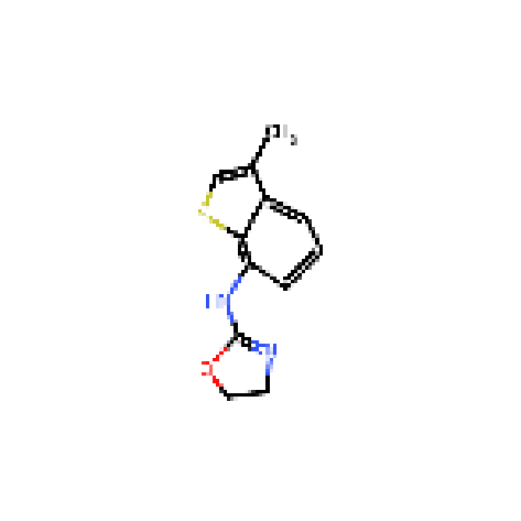 Cc1csc2c(NC3=NCCO3)cccc12